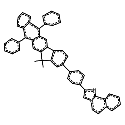 CC1(C)c2cc(-c3ccc(-c4cn5ccc6ccccc6c5n4)cc3)ccc2-c2cc3c(-c4ccccc4)c4ccccc4c(-c4ccccc4)c3cc21